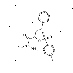 CCCCC(N)C(=O)C(OCc1ccccc1)OS(=O)(=O)c1ccc(C)cc1